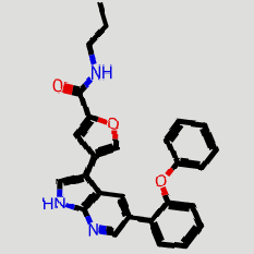 CCCNC(=O)c1cc(-c2c[nH]c3ncc(-c4ccccc4Oc4ccccc4)cc23)co1